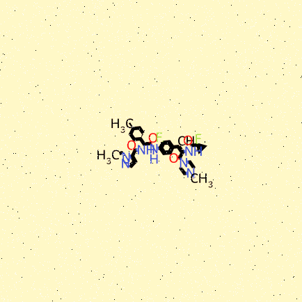 CCn1nccc1C(=O)N[C@H](C(=O)Nc1ccc(/C(C)=C(/NC(=O)C2(F)CC2)C(=O)N2CCN(C)CC2)cc1F)[C@H]1CC[C@H](C)CC1